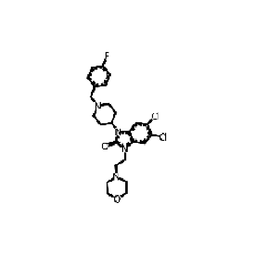 O=c1n(CCN2CCOCC2)c2cc(Cl)c(Cl)cc2n1C1CCN(Cc2ccc(F)cc2)CC1